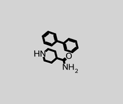 NC(=O)C1CCNCC1.c1ccc(-c2ccccc2)cc1